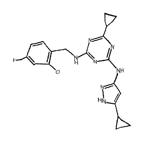 Fc1ccc(CNc2nc(Nc3cc(C4CC4)[nH]n3)nc(C3CC3)n2)c(Cl)c1